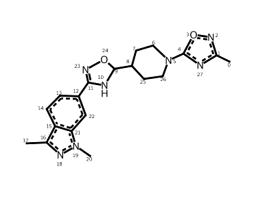 Cc1noc(N2CCC(C3NC(c4ccc5c(C)nn(C)c5c4)=NO3)CC2)n1